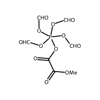 COC(=O)C(=O)OP(OC=O)(OC=O)(OC=O)OC=O